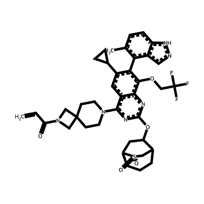 C=CC(=O)N1CC2(CCN(c3nc(OC4CC5CCCC4CS5(=O)=O)nc4c(OCC(F)(F)F)c(-c5c(C)ccc6[nH]ncc56)c(C5CC5)cc34)CC2)C1